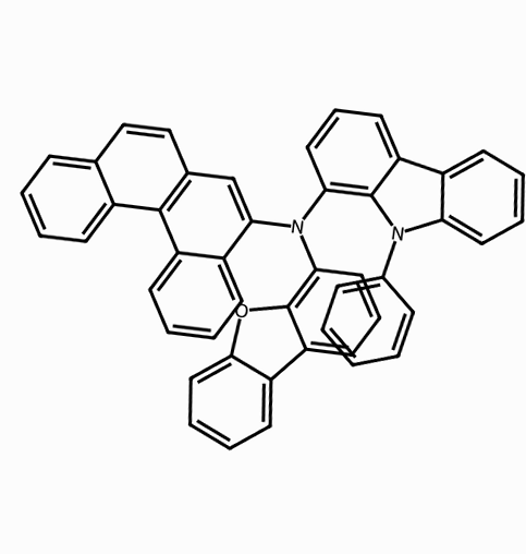 c1ccc(-n2c3ccccc3c3cccc(N(c4cc5ccc6ccccc6c5c5ccccc45)c4cccc5c4oc4ccccc45)c32)cc1